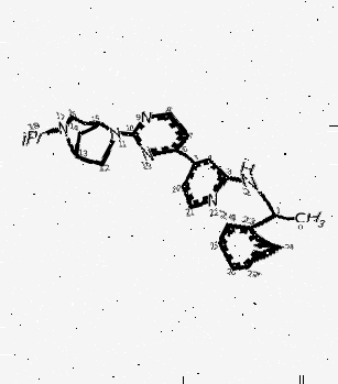 CC(Nc1cc(-c2ccnc(N3CC4CC3CN4C(C)C)n2)ccn1)c1ccccc1